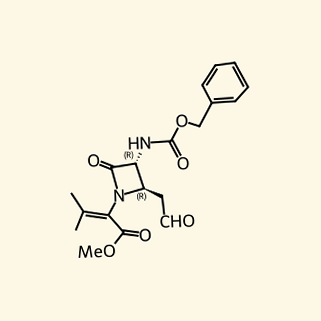 COC(=O)C(=C(C)C)N1C(=O)[C@H](NC(=O)OCc2ccccc2)[C@H]1CC=O